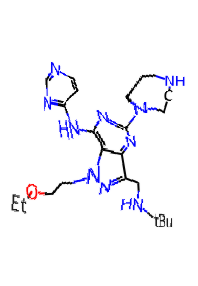 CCOCCn1nc(CNC(C)(C)C)c2nc(N3CCNCC3)nc(Nc3ccncn3)c21